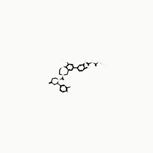 COC(=O)Nc1nc2ccc(-c3cc(C)c4c(c3)CN(C(=O)N3CCC(=O)CC3c3ccc(F)c(F)c3)CCO4)cc2[nH]1